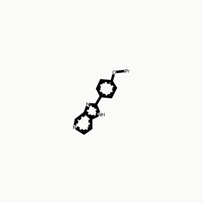 CC(C)Oc1ccc(-c2nc3cnccc3[nH]2)cc1